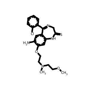 COCCN(C)CCOc1cc2c(cc1N)C(c1ccccc1Cl)=NCC(=S)N2